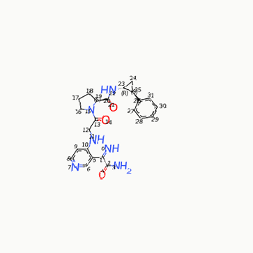 N=C(C(N)=O)c1cnccc1NCC(=O)N1CCC[C@H]1C(=O)N[C@@H]1C[C@H]1c1ccccc1